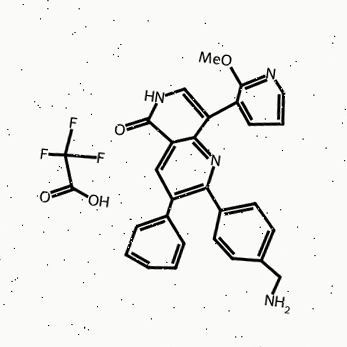 COc1ncccc1-c1c[nH]c(=O)c2cc(-c3ccccc3)c(-c3ccc(CN)cc3)nc12.O=C(O)C(F)(F)F